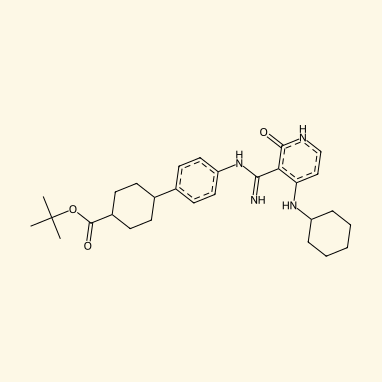 CC(C)(C)OC(=O)C1CCC(c2ccc(NC(=N)c3c(NC4CCCCC4)cc[nH]c3=O)cc2)CC1